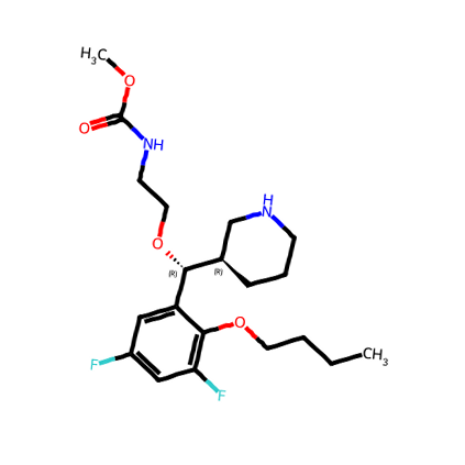 CCCCOc1c(F)cc(F)cc1[C@H](OCCNC(=O)OC)[C@@H]1CCCNC1